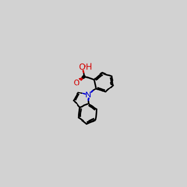 O=C(O)c1ccccc1-n1ccc2ccccc21